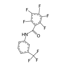 O=C(Nc1cccc(C(F)(F)F)c1)c1c(F)c(F)c(F)c(F)c1F